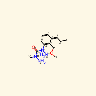 C=CC(=C/CC)/C(COC)=C(\C)N(N)C(=O)N(C)N